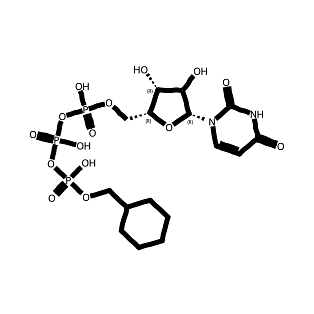 O=c1ccn([C@@H]2O[C@H](COP(=O)(O)OP(=O)(O)OP(=O)(O)OCC3CCCCC3)[C@H](O)C2O)c(=O)[nH]1